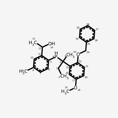 CCC(C)(Pc1ccc(C)cc1C(C)O)c1cc(OC)ccc1OCc1ccccc1